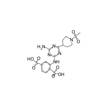 CS(=O)(=O)N1CCC(c2nc(N)nc(Nc3cc(S(=O)(=O)O)ccc3S(=O)(=O)O)n2)CC1